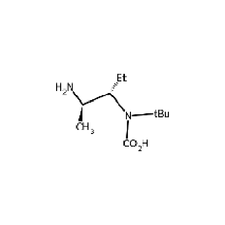 CC[C@@H]([C@@H](C)N)N(C(=O)O)C(C)(C)C